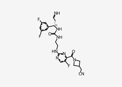 N#CCC1CN(C(=O)c2nc(NCCNC(=O)N[C@@H](CC=N)c3cc(F)cc(F)c3)ncc2F)C1